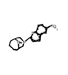 CN1C2CCCC1CN(c1ccc3cc([N+](=O)[O-])ccc3n1)C2